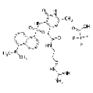 Cc1cc(CC(=O)NCCONC(=N)N)c(NS(=O)(=O)c2cccc3c(N(C)C)cccc23)c(=O)[nH]1.O=C(O)C(F)(F)F